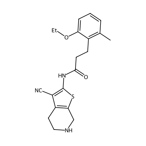 CCOc1cccc(C)c1CCC(=O)Nc1sc2c(c1C#N)CCNC2